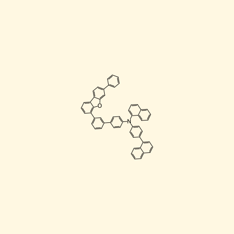 c1ccc(-c2ccc3c(c2)oc2c(-c4cccc(-c5ccc(N(c6ccc(-c7cccc8ccccc78)cc6)c6cccc7ccccc67)cc5)c4)cccc23)cc1